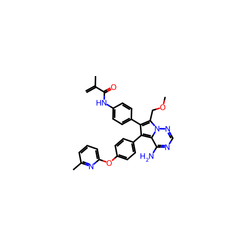 C=C(C)C(=O)Nc1ccc(-c2c(-c3ccc(Oc4cccc(C)n4)cc3)c3c(N)ncnn3c2COC)cc1